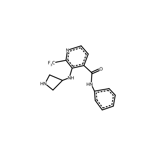 O=C(Nc1ccccc1)c1ccnc(C(F)(F)F)c1NC1CNC1